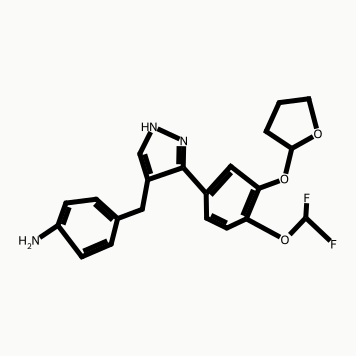 Nc1ccc(Cc2c[nH]nc2-c2ccc(OC(F)F)c(OC3CCCO3)c2)cc1